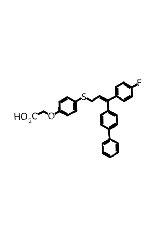 O=C(O)COc1ccc(SCC=C(c2ccc(F)cc2)c2ccc(-c3ccccc3)cc2)cc1